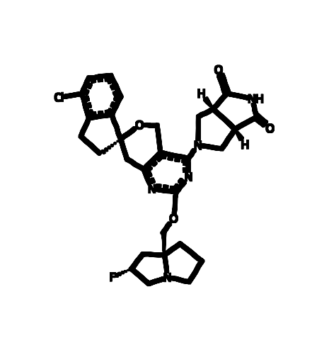 O=C1NC(=O)[C@@H]2CN(c3nc(OC[C@@]45CCCN4C[C@H](F)C5)nc4c3CO[C@@]3(CCc5c(Cl)cccc53)C4)C[C@H]12